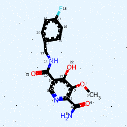 COc1c(C(N)=O)ncc(C(=O)NCc2ccc(F)cc2)c1O